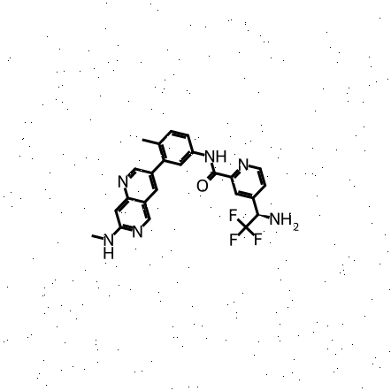 CNc1cc2ncc(-c3cc(NC(=O)c4cc([C@@H](N)C(F)(F)F)ccn4)ccc3C)cc2cn1